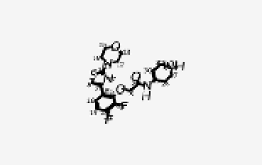 Cl.O=C(COc1c(-c2csc(N3CCOCC3)n2)ccc(F)c1F)NC1CCNCC1